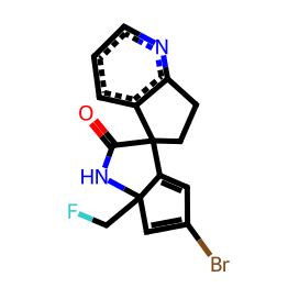 O=C1NC2(CF)C=C(Br)C=C2C12CCc1ncccc12